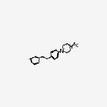 CC(=O)N1CCN(c2ccc(CCc3c[c]ccc3)cc2)CC1